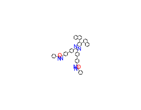 c1ccc(-c2nnc(-c3ccc(-c4ccc(-c5nc6cc(-c7cccc8ccccc78)c(-c7cccc8ccccc78)cc6nc5-c5ccc(-c6ccc(-c7nnc(-c8ccccc8)o7)cc6)cc5)cc4)cc3)o2)cc1